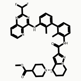 COC(=O)C1CCN([C@H]2CCCn3nc(C(=O)Nc4cccc(-c5cccc(Nc6nc(C(F)F)nc7cccnc67)c5C)c4C)cc32)CC1